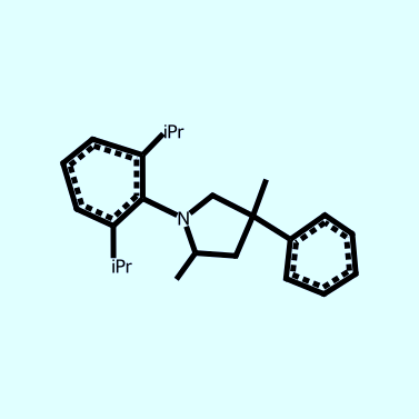 CC(C)c1cccc(C(C)C)c1N1CC(C)(c2ccccc2)CC1C